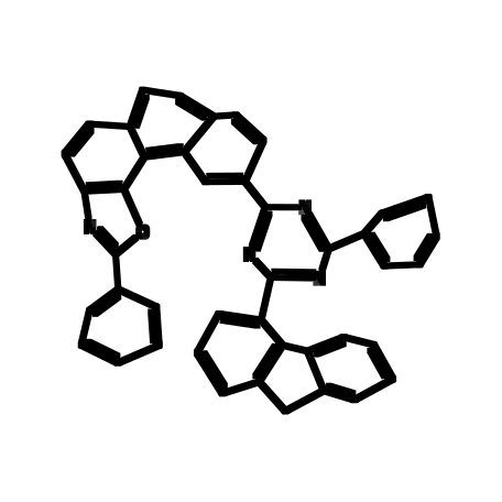 c1ccc(-c2nc(-c3ccc4ccc5ccc6nc(-c7ccccc7)oc6c5c4c3)nc(-c3cccc4c3-c3ccccc3C4)n2)cc1